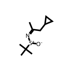 C/C(CC1CC1)=N/[S+]([O-])C(C)(C)C